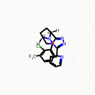 FC(F)(F)c1cccc(CN2[C@H]3CC[C@@H]2c2nnc(-c4ccccn4)n2C3)c1Cl